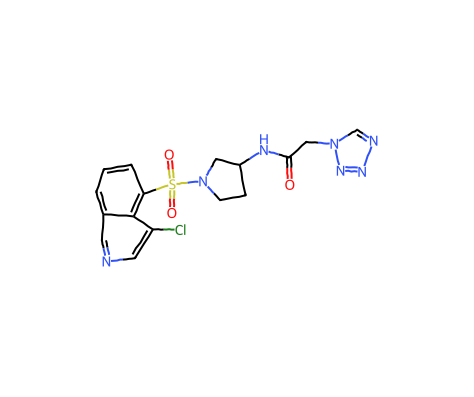 O=C(Cn1cnnn1)NC1CCN(S(=O)(=O)c2cccc3cncc(Cl)c23)C1